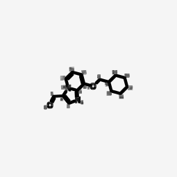 O=Cc1cnc2c(OCC3CCCCC3)cccn12